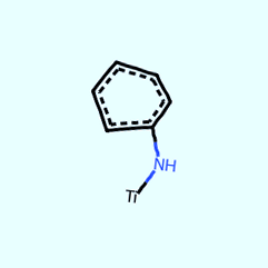 [Ti][NH]c1ccccc1